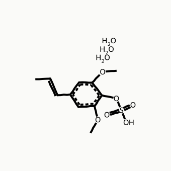 CC=Cc1cc(OC)c(OS(=O)(=O)O)c(OC)c1.O.O.O